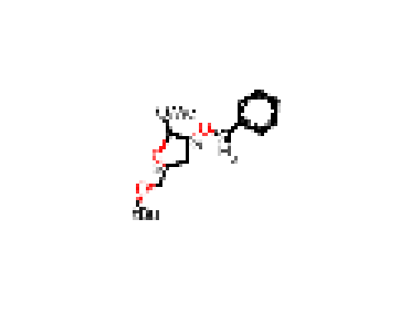 COC1O[C@H](COC(C)(C)C)C[C@H]1O[SiH2]c1ccccc1